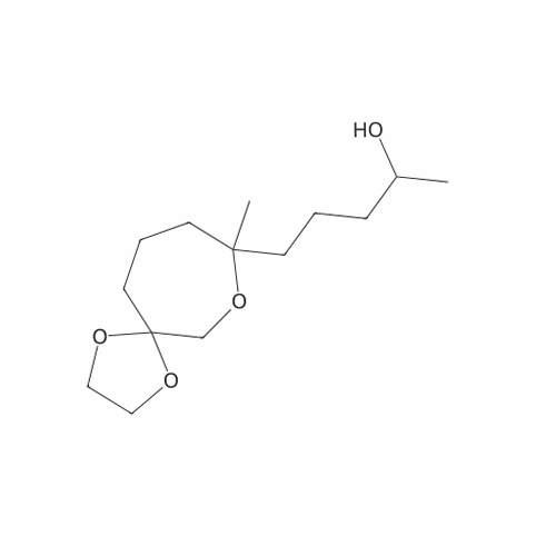 CC(O)CCCC1(C)CCCC2(CO1)OCCO2